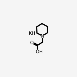 O=C(O)CN1CCCCC1.[KH]